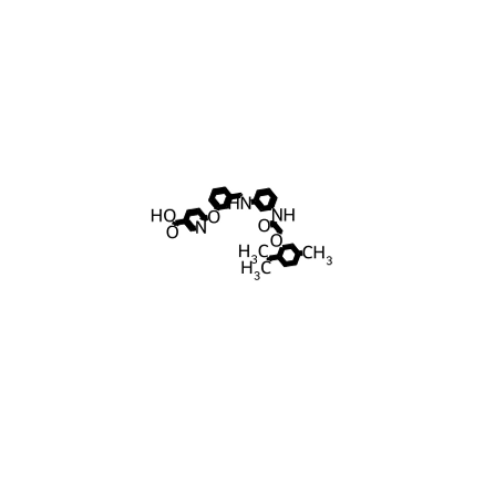 CC1CCC(C(C)C)C(OCC(=O)Nc2cccc(NCc3cccc(Oc4ccc(C(=O)O)cn4)c3)c2)C1